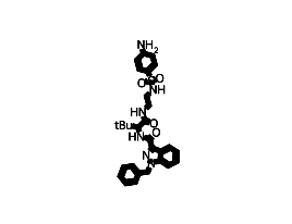 CC(C)(C)C(NC(=O)c1nn(Cc2ccccc2)c2ccccc12)C(=O)NCCNS(=O)(=O)C1=CCC(N)C=C1